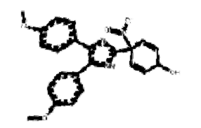 COc1ccc(-c2nc(C3([N+](=O)[O-])C=CC(O)C=C3)[nH]c2-c2ccc(OC)cc2)cc1